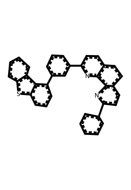 c1ccc(-c2ccc3ccc4ccc(-c5cccc(-c6cccc7sc8ccccc8c67)c5)nc4c3n2)cc1